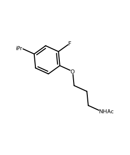 CC(=O)NCCCOc1ccc(C(C)C)cc1F